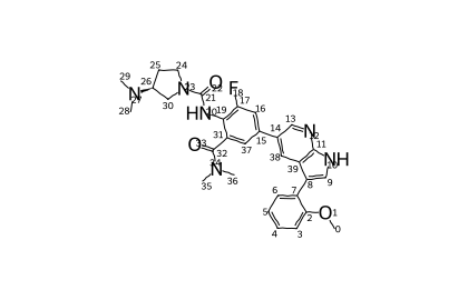 COc1ccccc1-c1c[nH]c2ncc(-c3cc(F)c(NC(=O)N4CC[C@H](N(C)C)C4)c(C(=O)N(C)C)c3)cc12